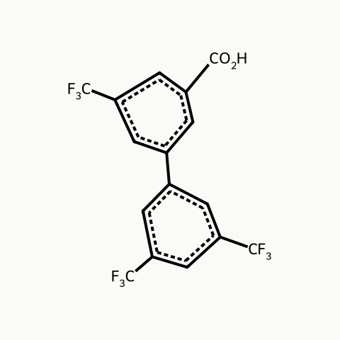 O=C(O)c1cc(-c2cc(C(F)(F)F)cc(C(F)(F)F)c2)cc(C(F)(F)F)c1